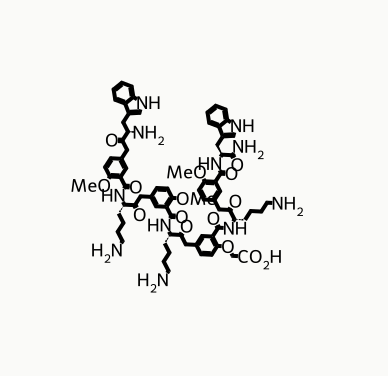 COc1ccc(CC(=O)[C@H](CCCCN)NC(=O)c2cc(CC(=O)[C@H](CCCCN)NC(=O)c3cc(CC(=O)[C@H](CCCCN)NC(=O)c4cc(CC(=O)[C@@H](N)Cc5c[nH]c6ccccc56)ccc4OC)ccc3OC)ccc2OCC(=O)O)cc1C(=O)N[C@@H](Cc1c[nH]c2ccccc12)C(N)=O